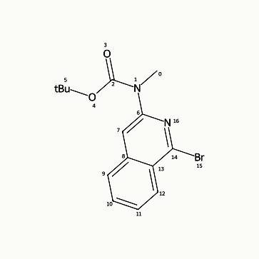 CN(C(=O)OC(C)(C)C)c1cc2ccccc2c(Br)n1